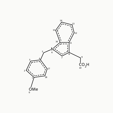 COc1ccc(Cn2cc(CC(=O)O)c3ccccc32)cc1